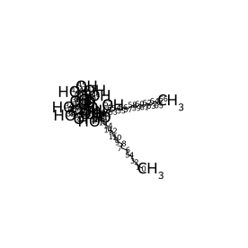 CCCCCCCCCCCCCCCCC[C@@H](O)[C@H](COP(=O)(O)O[C@H]1C(O)C(O)C(O)[C@@H](O)C1O[C@H]1O[C@H](CO)[C@@H](O)C(O)C1O)NC(=O)C(O)CCCCCCCCCCCCCC